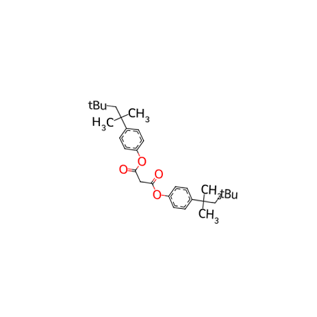 CC(C)(C)CC(C)(C)c1ccc(OC(=O)CC(=O)Oc2ccc(C(C)(C)CC(C)(C)C)cc2)cc1